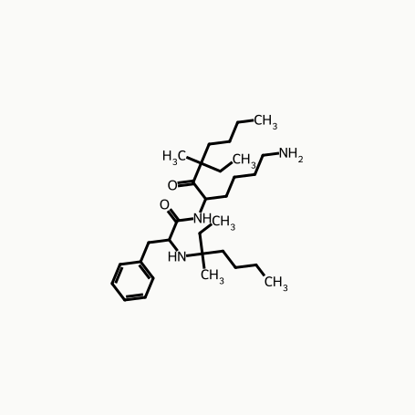 CCCCC(C)(CC)NC(Cc1ccccc1)C(=O)NC(CCCCN)C(=O)C(C)(CC)CCCC